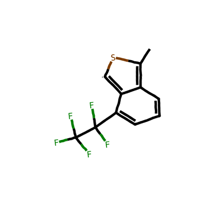 Cc1s[c]c2c(C(F)(F)C(F)(F)F)cccc12